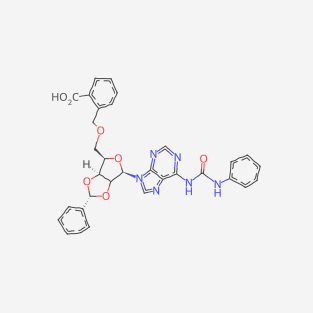 O=C(Nc1ccccc1)Nc1ncnc2c1ncn2[C@@H]1O[C@H](COCc2ccccc2C(=O)O)[C@@H]2O[C@@H](c3ccccc3)OC21